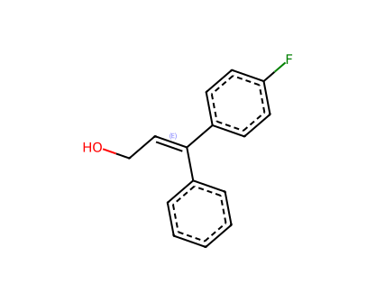 OC/C=C(\c1ccccc1)c1ccc(F)cc1